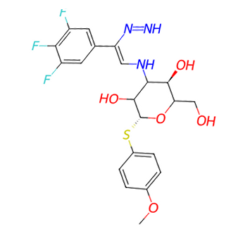 COc1ccc(S[C@H]2OC(CO)[C@H](O)C(N/C=C(\N=N)c3cc(F)c(F)c(F)c3)C2O)cc1